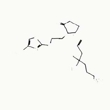 COCCCC(C)(O)CC=C[C@H]1CCC(=O)[C@@H]1CCSc1nc(C(=O)O)cs1